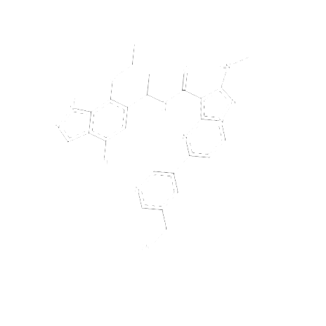 CCOc1c(C(C)NC(=O)c2c(NC)nn3ccc(-c4cncc(CO)c4)nc23)cc(Cl)c2cn[nH]c12